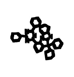 c1ccc(-c2nc(-c3ccccc3)nc(-c3cccc4c3-n3c(nc5ccccc53)C4(c3ccccc3)c3ccccc3)n2)cc1